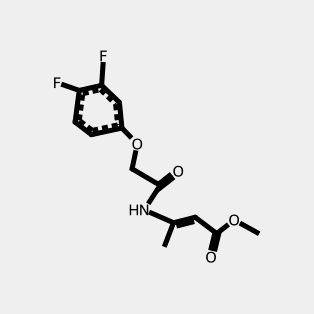 COC(=O)C=C(C)NC(=O)COc1ccc(F)c(F)c1